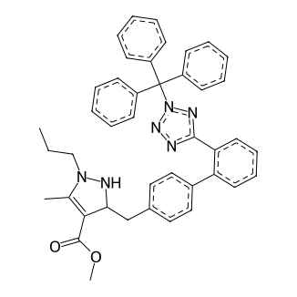 CCCN1NC(Cc2ccc(-c3ccccc3-c3nnn(C(c4ccccc4)(c4ccccc4)c4ccccc4)n3)cc2)C(C(=O)OC)=C1C